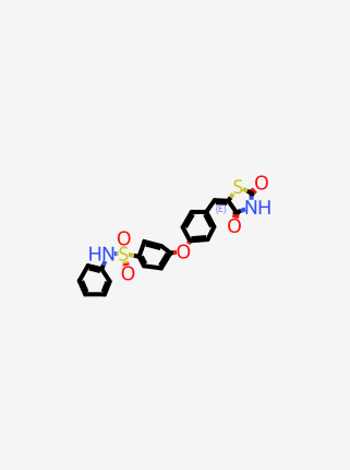 O=C1NC(=O)/C(=C\c2ccc(Oc3ccc(S(=O)(=O)Nc4ccccc4)cc3)cc2)S1